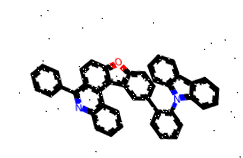 c1ccc(-c2nc3ccccc3c3c2ccc2oc4ccc(-c5ccccc5-n5c6ccccc6c6ccccc65)cc4c23)cc1